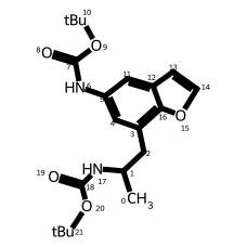 CC(Cc1cc(NC(=O)OC(C)(C)C)cc2ccoc12)NC(=O)OC(C)(C)C